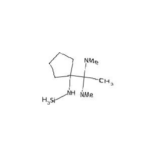 CNC(C)(NC)C1(N[SiH3])CCCC1